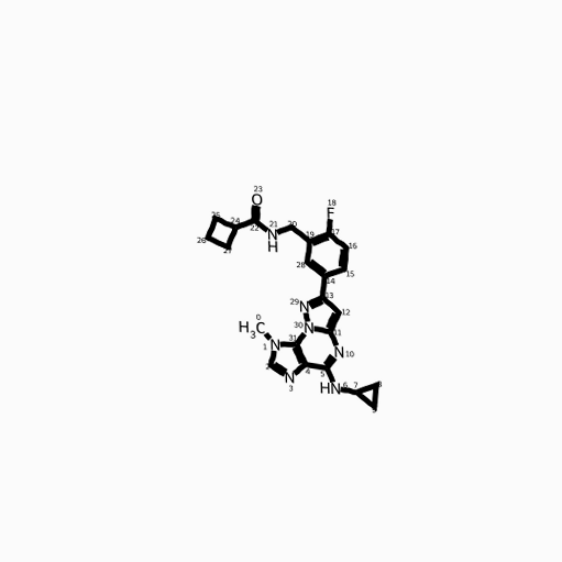 Cn1cnc2c(NC3CC3)nc3cc(-c4ccc(F)c(CNC(=O)C5CCC5)c4)nn3c21